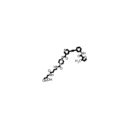 Cc1ccoc1C(=O)Nc1cccc(C#Cc2cncc(C(=O)N=S3CCN(C(=O)NCCCC(=O)NCC(O)CO)CC3)c2)c1